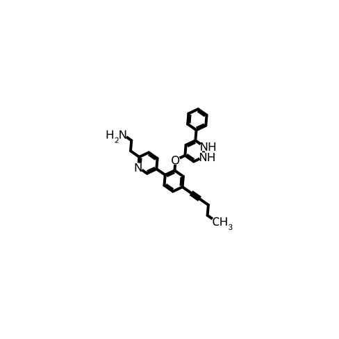 CCCC#Cc1ccc(-c2ccc(CCN)nc2)c(OC2=CNNC(c3ccccc3)=C2)c1